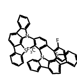 Fc1cccc(F)c1-c1ccc(-n2c3ccccc3c3ccc4c5ccccc5sc4c32)c(C(F)(F)F)c1-n1c2ccccc2c2ccc3c4ccccc4sc3c21